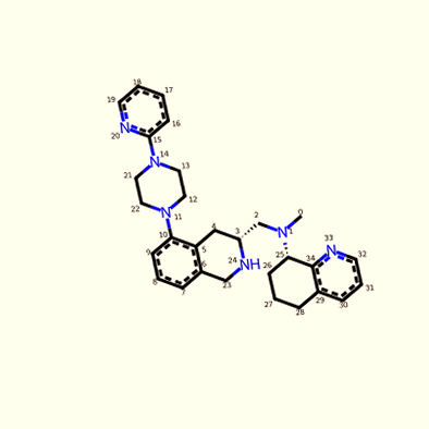 CN(C[C@H]1Cc2c(cccc2N2CCN(c3ccccn3)CC2)CN1)[C@H]1CCCc2cccnc21